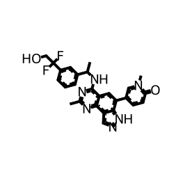 Cc1nc(NC(C)c2cccc(C(F)(F)CO)c2)c2cc(-c3ccc(=O)n(C)c3)c3[nH]ncc3c2n1